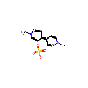 CN1[C+]=CC(=C2C=[C+]N(C)C=C2)C=C1.O=S(=O)([O-])[O-]